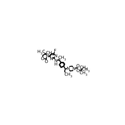 CCC(c1ccc([C@H](C)Nc2nc(F)cc(N3C(=O)OCC3(C)C)n2)cc1)N1CCN(C(=O)OC(C)(C)C)CC1